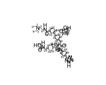 CCN(CC)CCNC(=O)c1ccc(C)c(-c2ccc(C[C@H](NC(=O)[C@H]3CC[C@H](CNC(=O)O)CC3)C(=O)Nc3ccc(-c4nn[nH]n4)cc3)cc2)c1.O=C(O)C(F)(F)F